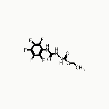 CCOC(=O)NNC(=O)Nc1c(F)c(F)c(F)c(F)c1F